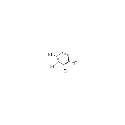 CCc1ccc(F)c(Cl)c1CC